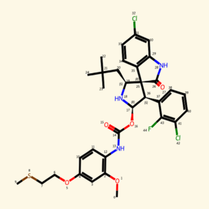 COc1cc(OCCSC)ccc1NC(=O)O[C@H]1N[C@@H](CC(C)(C)C)[C@@]2(C(=O)Nc3cc(Cl)ccc32)[C@H]1c1cccc(Cl)c1F